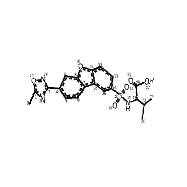 Cc1nc(-c2ccc3c(c2)oc2ccc(S(=O)(=O)NC(C(=O)O)C(C)C)cc23)no1